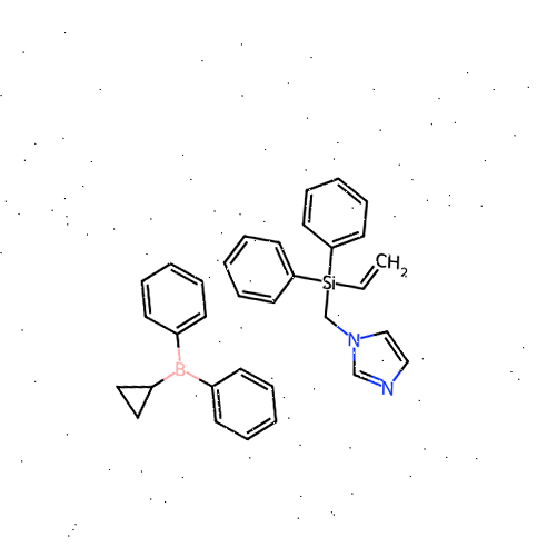 C=C[Si](Cn1ccnc1)(c1ccccc1)c1ccccc1.c1ccc(B(c2ccccc2)C2CC2)cc1